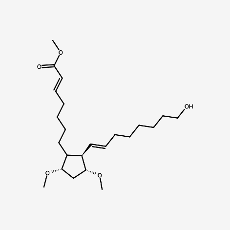 COC(=O)C=CCCCCC1[C@@H](OC)C[C@@H](OC)[C@@H]1/C=C/CCCCCCO